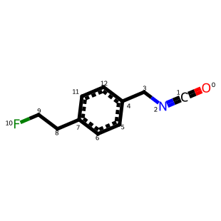 O=C=NCc1ccc(CCF)cc1